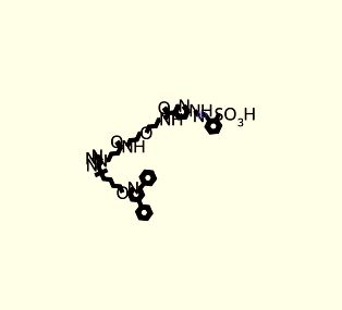 CC(C)(CCCCOc1cc(-c2ccccc2)cc(-c2ccccc2)n1)c1nnnn1CCCC(=O)NCCCOCCCNC(=O)c1ccc(N/N=C/c2ccccc2S(=O)(=O)O)nc1